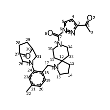 CC(=O)c1ccn(C(=O)N2CCC3(CCCN3Cc3ccc(C)cc3N3CC4CCC(C3)O4)CC2)n1